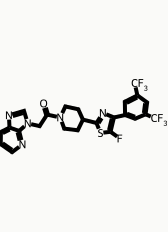 O=C(Cn1cnc2cccnc21)N1CCC(c2nc(-c3cc(C(F)(F)F)cc(C(F)(F)F)c3)c(F)s2)CC1